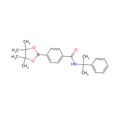 CC(C)(NC(=O)c1ccc(B2OC(C)(C)C(C)(C)O2)cc1)c1ccccc1